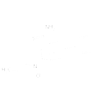 CCCN(Cl)C1C2CC3(c4ccccc4)CC1C(C(N)=S)(C2)C3